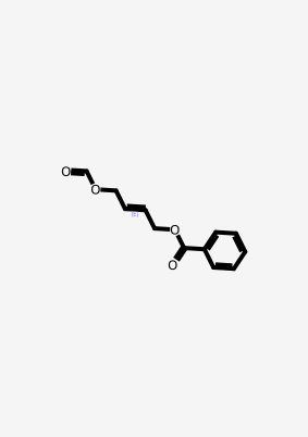 O=COC/C=C/COC(=O)c1ccccc1